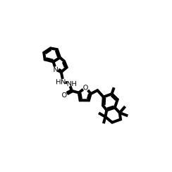 Cc1cc2c(cc1Cc1ccc(C(=O)NNc3ccc4ccccc4n3)o1)C(C)(C)CCC2(C)C